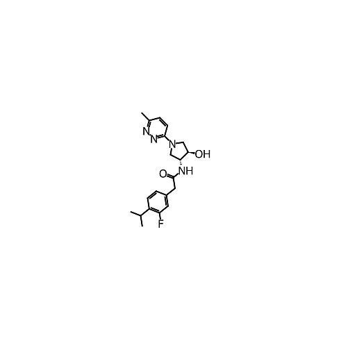 Cc1ccc(N2C[C@@H](O)[C@H](NC(=O)Cc3ccc(C(C)C)c(F)c3)C2)nn1